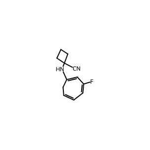 N#CC1(NC2=CC(F)=CC=CC2)CCC1